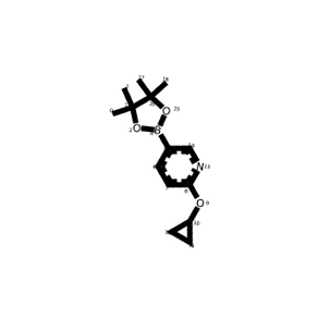 CC1(C)OB(c2ccc(OC3CC3)nc2)OC1(C)C